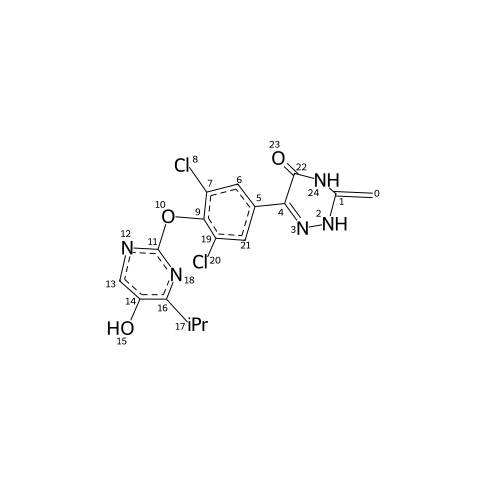 C=C1NN=C(c2cc(Cl)c(Oc3ncc(O)c(C(C)C)n3)c(Cl)c2)C(=O)N1